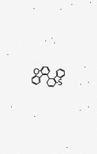 C1=Cc2sc3ccccc3c2C(c2cccc3oc4ccccc4c23)C1